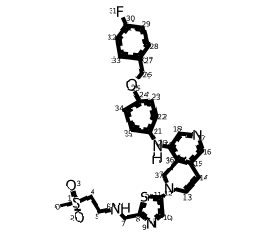 CS(=O)(=O)CCNCc1ncc(N2C=Cc3cncc(Nc4ccc(OCc5ccc(F)cc5)cc4)c3C2)s1